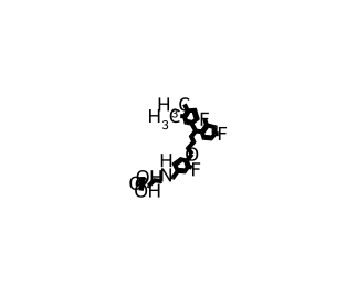 Cc1ccc(C(CCCOc2ccc(CNCCCP(=O)(O)O)cc2F)c2ccc(F)cc2F)cc1C